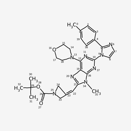 Cc1ccc(-c2nccn2-c2nc(N3CCOCC3)c3nc(C=C4CN(C(=O)OC(C)(C)C)C4)n(C)c3n2)cc1